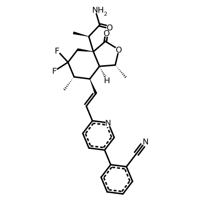 C[C@H]1OC(=O)[C@]2([C@@H](C)C(N)=O)CC(F)(F)[C@@H](C)[C@H](C=Cc3ccc(-c4ccccc4C#N)cn3)[C@H]12